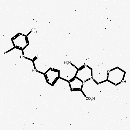 NC1=NCN(CC2CNCCO2)n2c(C(=O)O)cc(-c3ccc(NC(=O)Nc4cc(C(F)(F)F)ccc4F)cc3)c21